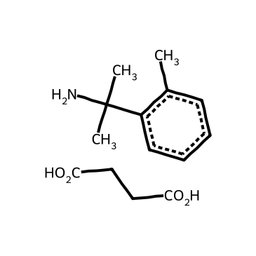 Cc1ccccc1C(C)(C)N.O=C(O)CCC(=O)O